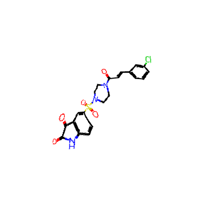 O=C1Nc2ccc(S(=O)(=O)N3CCN(C(=O)/C=C/c4cccc(Cl)c4)CC3)cc2C1=O